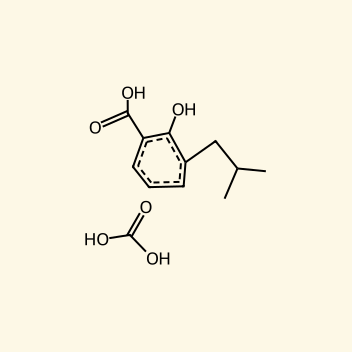 CC(C)Cc1cccc(C(=O)O)c1O.O=C(O)O